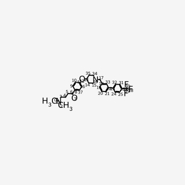 CN(C)CCCC(=O)c1ccc(OC2CCN(Cc3cccc(-c4ccc(C(F)(F)F)cc4)c3)CC2)cc1